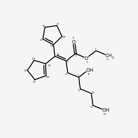 CCOC(=O)C(CC(O)CCCO)=C(C1=CCCC1)C1=CCCC1